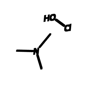 CN(C)C.OCl